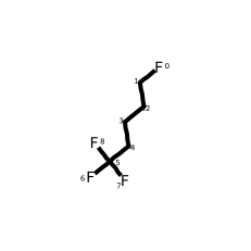 FC[CH]CCC(F)(F)F